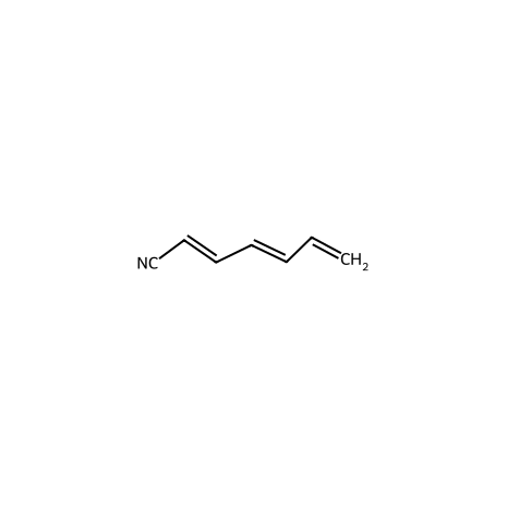 C=CC=CC=CC#N